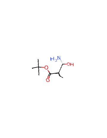 CC(C(=O)OC(C)(C)C)[C@H](N)O